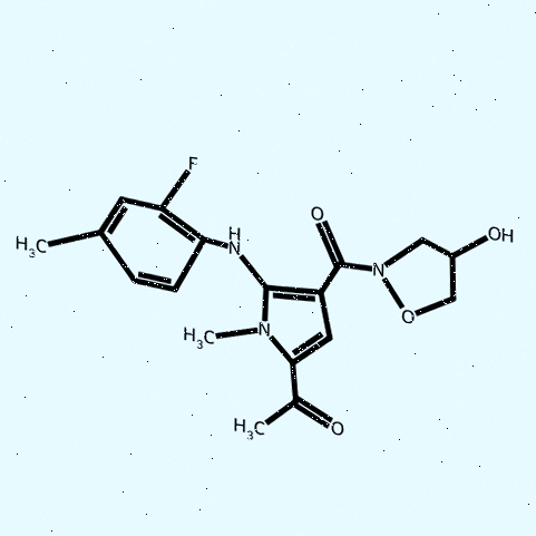 CC(=O)c1cc(C(=O)N2CC(O)CO2)c(Nc2ccc(C)cc2F)n1C